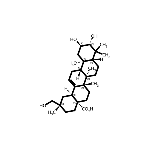 CC1(C)[C@@H](O)[C@H](O)C[C@]2(C)[C@H]3CC=C4[C@@H]5C[C@@](C)(CO)CC[C@]5(C(=O)O)CC[C@@]4(C)[C@]3(C)CC[C@@H]12